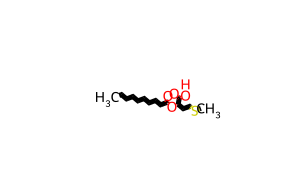 CCCCCCCCCC(=O)OC(CCSC)C(=O)O